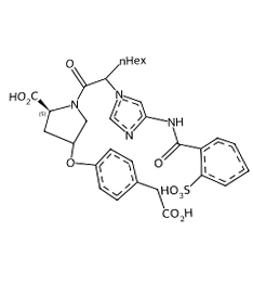 CCCCCCC(C(=O)N1CC(Oc2ccc(CC(=O)O)cc2)C[C@H]1C(=O)O)n1cnc(NC(=O)c2ccccc2S(=O)(=O)O)c1